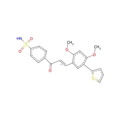 COc1cc(OC)c(-c2cccs2)cc1/C=C/C(=O)c1ccc(S([NH])(=O)=O)cc1